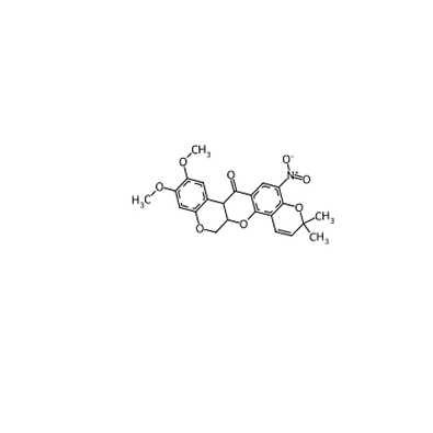 COc1cc2c(cc1OC)C1C(=O)c3cc([N+](=O)[O-])c4c(c3OC1CO2)C=CC(C)(C)O4